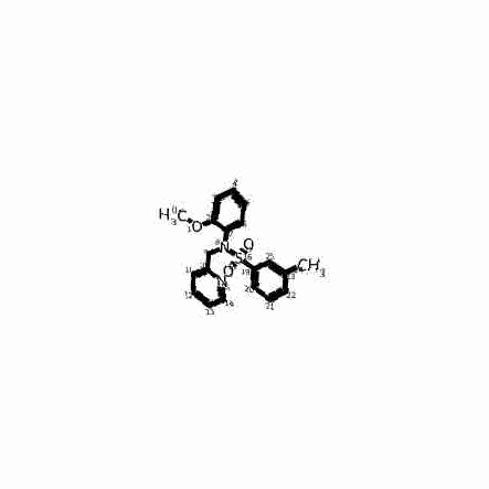 COc1ccccc1N(Cc1ccccn1)S(=O)(=O)c1cccc(C)c1